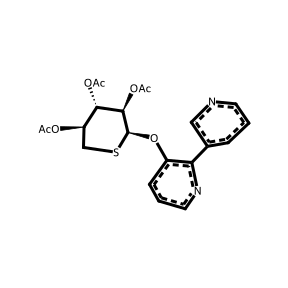 CC(=O)O[C@@H]1[C@@H](OC(C)=O)[C@@H](Oc2cccnc2-c2cccnc2)SC[C@H]1OC(C)=O